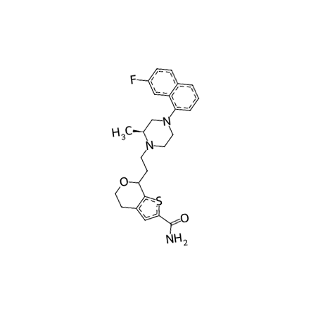 C[C@H]1CN(c2cccc3ccc(F)cc23)CCN1CCC1OCCc2cc(C(N)=O)sc21